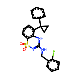 O=S1(=O)N=C(NCc2ccccc2F)Nc2c(C3(c4ccccc4)CC3)cccc21